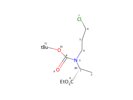 CCOC(=O)[C@@H](C)N(CCCCl)C(=O)OC(C)(C)C